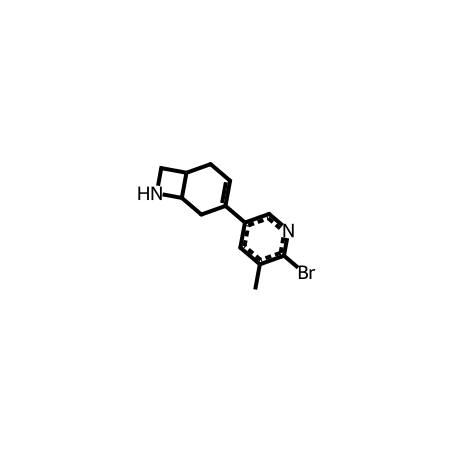 Cc1cc(C2=CCC3CNC3C2)cnc1Br